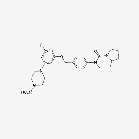 CC1CCCN1C(=O)N(C)c1ccc(COc2cc(F)cc(N3CCN(C(=O)O)CC3)c2)cc1